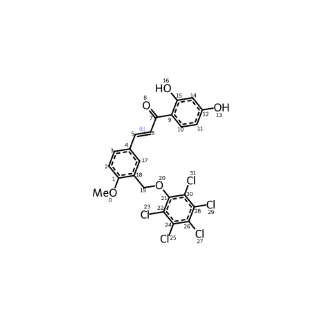 COc1ccc(/C=C/C(=O)c2ccc(O)cc2O)cc1COc1c(Cl)c(Cl)c(Cl)c(Cl)c1Cl